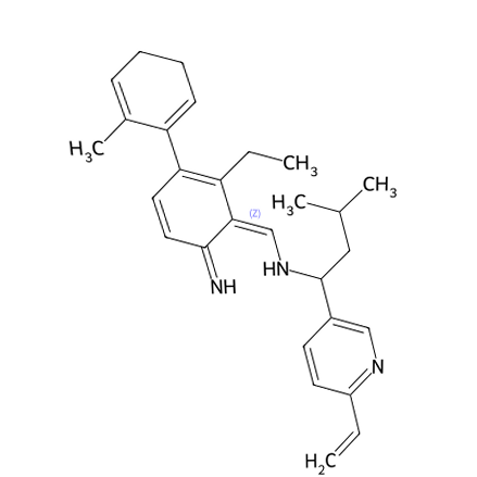 C=Cc1ccc(C(CC(C)C)N/C=C2\C(=N)C=CC(C3=CCCC=C3C)=C2CC)cn1